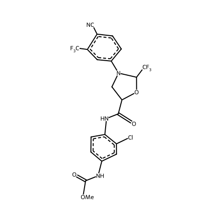 COC(=O)Nc1ccc(NC(=O)C2CN(c3ccc(C#N)c(C(F)(F)F)c3)C(C(F)(F)F)O2)c(Cl)c1